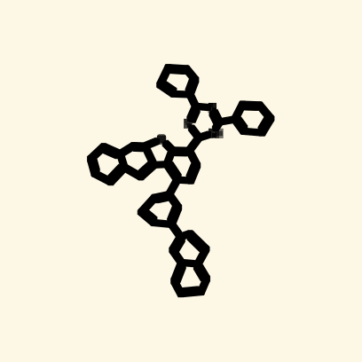 c1ccc(C2=NC(c3ccc(-c4cccc(-c5ccc6ccccc6c5)c4)c4c3oc3cc5ccccc5cc34)NC(c3ccccc3)=N2)cc1